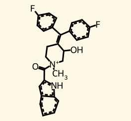 C[N+]1(C(=O)c2cc3ccccc3[nH]2)CCC(=C(c2ccc(F)cc2)c2ccc(F)cc2)C(O)C1